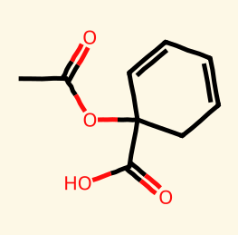 CC(=O)OC1(C(=O)O)C=CC=CC1